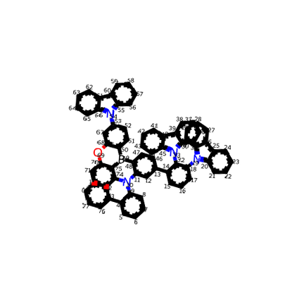 c1ccc(-c2ccccc2N2c3cc(-c4cccc(-n5c6ccccc6c6ccccc65)c4-n4c5ccccc5c5ccccc54)ccc3B3c4ccc(-n5c6ccccc6c6ccccc65)cc4Oc4cccc2c43)cc1